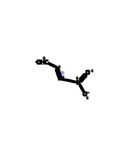 O=[C]/C=C/[N+](=O)[O-]